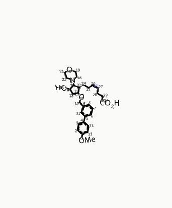 COc1ccc(-c2cccc(CO[C@H]3C[C@@H](O)[C@H](N4CCOCC4)[C@H]3CC/C=C\CCC(=O)O)c2)cc1